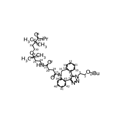 CCC(C)OCCn1nnc2c1-c1ccccc1CN(C(=O)CCC(=O)NCCC(C)(C)OCCC(C)(C)C(=O)C(C)C)c1ccccc1-2